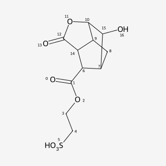 O=C(OCCS(=O)(=O)O)C1C2CC3C(OC(=O)C31)C2O